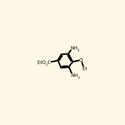 CCOC(=O)c1cc(N)c(OCC)c(N)c1